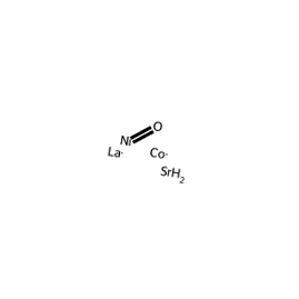 [Co].[La].[O]=[Ni].[SrH2]